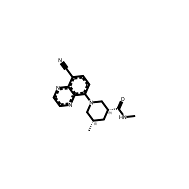 CNC(=O)[C@@H]1C[C@H](C)CN(c2ccc(C#N)c3nccnc23)C1